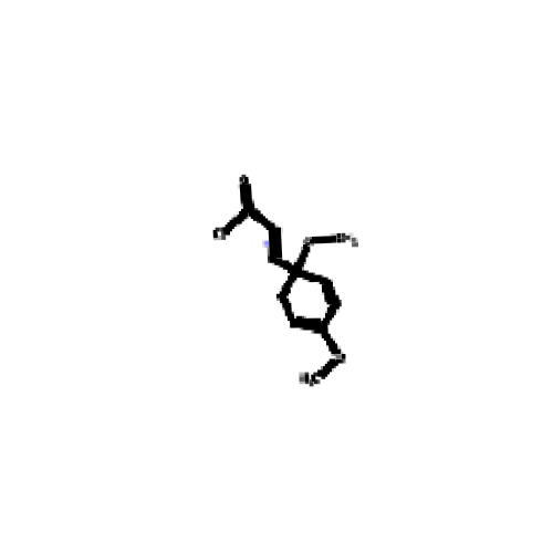 COC1=CCC(/C=C/C(=O)Cl)(OC)C=C1